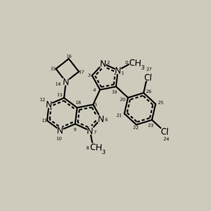 Cn1ncc(-c2nn(C)c3ncnc(N4CCC4)c23)c1-c1ccc(Cl)cc1Cl